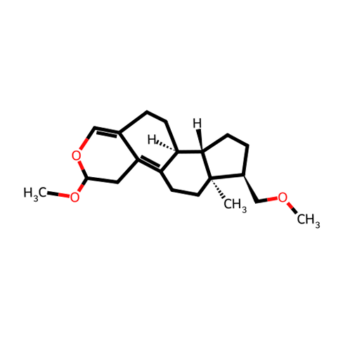 COC[C@@H]1CC[C@H]2[C@@H]3CCC4=COC(OC)CC4=C3CC[C@]12C